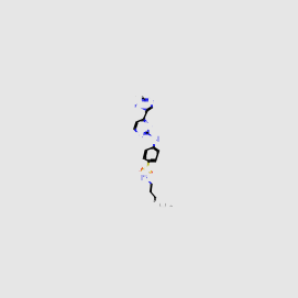 CCn1c(-c2ccnc(Nc3ccc(S(=O)(=O)NCCCOC)cc3)n2)cnc1C